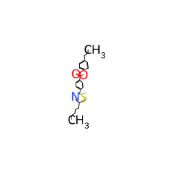 CCCCCC1CN=C(c2ccc(C(=O)Oc3ccc(CCC)cc3)cc2)SC1